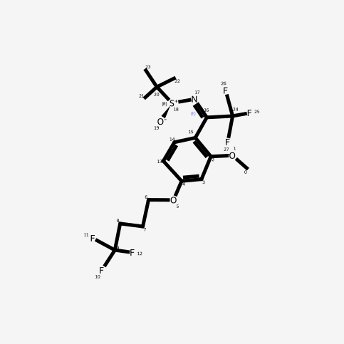 COc1cc(OCCCC(F)(F)F)ccc1/C(=N\[S@@+]([O-])C(C)(C)C)C(F)(F)F